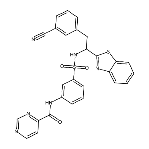 N#Cc1cccc(CC(NS(=O)(=O)c2cccc(NC(=O)c3ccncn3)c2)c2nc3ccccc3s2)c1